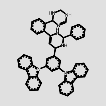 C1=NC(c2ccccc2C2=CC(c3cc(-n4c5ccccc5c5ccccc54)cc(-n4c5ccccc5c5ccccc54)c3)NC(c3ccccc3)N2)NCN1